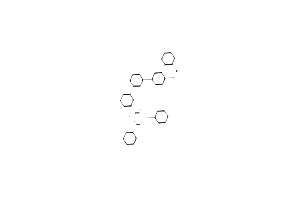 CC1(C)c2ccccc2-c2cc(-c3cccc(-c4cccc(-c5nc(-c6ccccc6)nc(-c6ccccc6)n5)c4)c3)ccc2C1(C)C